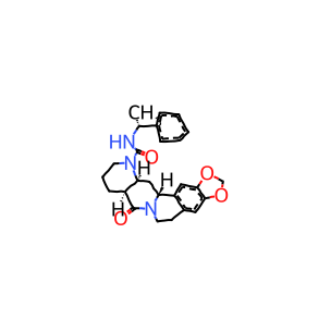 C[C@@H](NC(=O)N1CCC[C@@H]2C(=O)N3CCc4cc5c(cc4[C@H]3C[C@@H]21)OCO5)c1ccccc1